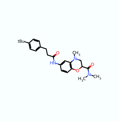 CN(C)C(=O)C1CN(C)c2cc(NC(=O)CCc3ccc(C(C)(C)C)cc3)ccc2O1